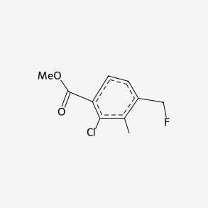 COC(=O)c1ccc(CF)c(C)c1Cl